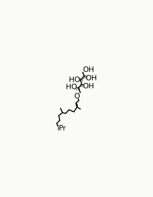 CC(=CCOC[C@H](O)[C@H](O)[C@@H](O)[C@@H](O)CO)CCCC(C)CCCC(C)C